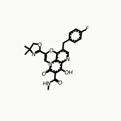 CNC(=O)c1c(O)c2ncc(Cc3ccc(F)cc3)c3c2n(c1=O)C=C(C1=NC(C)(C)CO1)O3